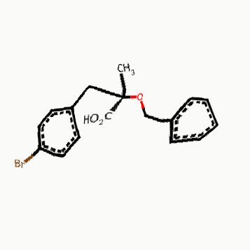 C[C@@](Cc1ccc(Br)cc1)(OCc1ccccc1)C(=O)O